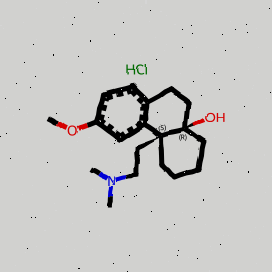 COc1ccc2c(c1)[C@@]1(CCN(C)C)CCCC[C@@]1(O)CC2.Cl